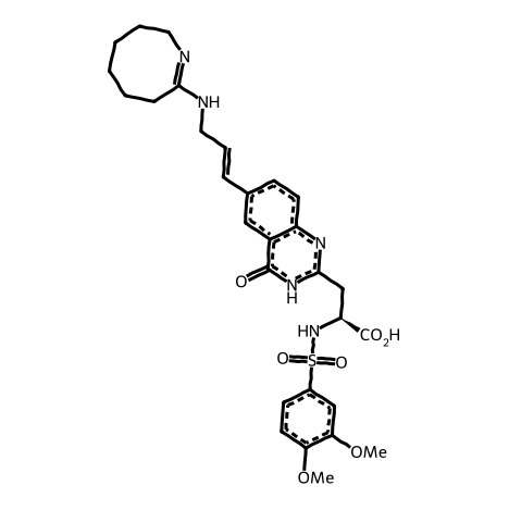 COc1ccc(S(=O)(=O)N[C@@H](Cc2nc3ccc(C=CCNC4=NCCCCCC4)cc3c(=O)[nH]2)C(=O)O)cc1OC